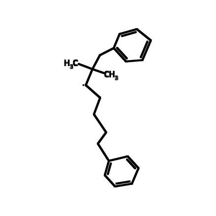 CC(C)([CH]CCCCc1ccccc1)Cc1ccccc1